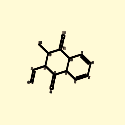 C=CC1C(=O)C2C=CC=CC2C(=O)C1C